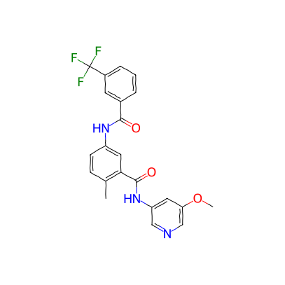 COc1cncc(NC(=O)c2cc(NC(=O)c3cccc(C(F)(F)F)c3)ccc2C)c1